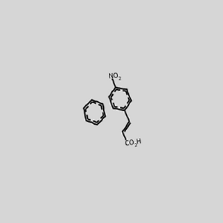 O=C(O)C=Cc1ccc([N+](=O)[O-])cc1.c1ccccc1